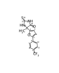 CC1(c2ccc(-c3ccc(C(F)(F)F)cc3)o2)NC(=S)NC1=O